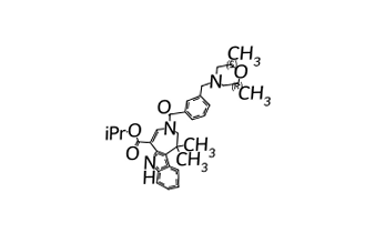 CC(C)OC(=O)C1=CN(C(=O)c2cccc(CN3C[C@@H](C)O[C@@H](C)C3)c2)CC(C)(C)c2c1[nH]c1ccccc21